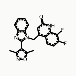 Cc1noc(C)c1-c1nc2ccccc2n1Cc1cc(=O)[nH]c2c(F)c(F)ccc12